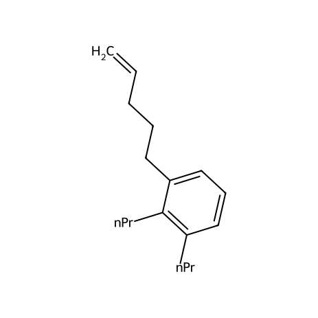 C=CCCCc1cccc(CCC)c1CCC